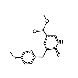 COC(=O)c1c[nH]c(=O)c(Cc2ccc(OC)cc2)c1